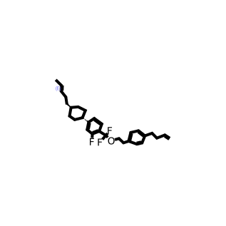 C=CCCc1ccc(CCOC(F)(F)c2ccc([C@H]3CC[C@H](CC/C=C/C)CC3)cc2F)cc1